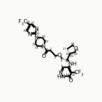 O=C(CCOC[C@@H](Nc1cn[nH]c(=O)c1C(F)(F)F)[C@@H]1CCOC1)N1CCN(c2ncc(C(F)(F)F)cn2)CC1